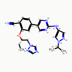 CC[C@@H](Cn1cncn1)Oc1cc(-c2cnc(Nc3cnn(C(C)C)c3)nc2)ccc1C#N